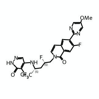 COc1cnc(-c2cc3ccn(C[C@@H](F)C[C@H](C)Nc4cn[nH]c(=O)c4C(F)(F)F)c(=O)c3cc2F)nc1